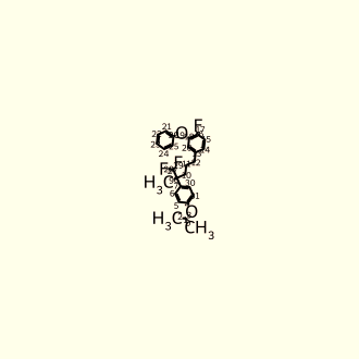 CC(C)Oc1ccc(C(C)(CCCc2ccc(F)c(Oc3ccccc3)c2)C(F)F)cc1